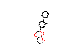 Cc1cc(C(CO)OC2CCCCO2)ccc1-c1ccccc1